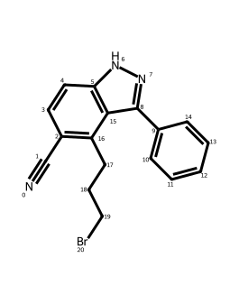 N#Cc1ccc2[nH]nc(-c3ccccc3)c2c1CCCBr